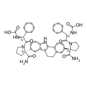 NC(=O)[C@@]1(c2ccc3c(c2)CCc2c-3[nH]c3ccc([C@]4(C(N)=O)CCCN4C(=O)[C@@H](NC(=O)O)c4ccccc4)cc23)CCCN1C(=O)[C@@H](NC(=O)O)c1ccccc1